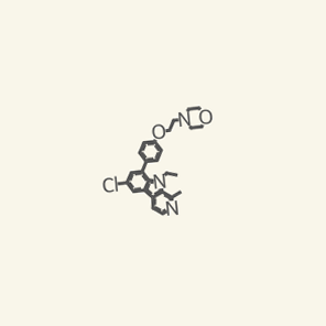 CCn1c2c(-c3ccc(OCCN4CCOCC4)cc3)cc(Cl)cc2c2ccnc(C)c21